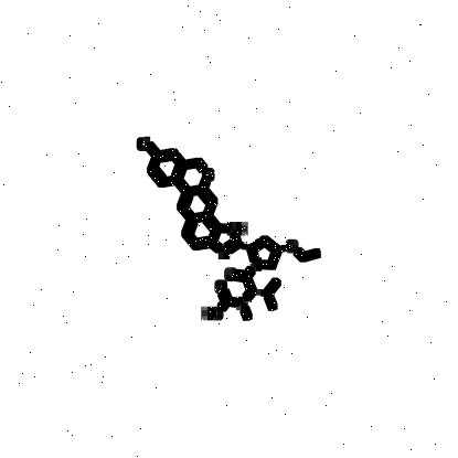 CCO[C@H]1C[C@@H](c2nc3ccc4cc5c(cc4c3[nH]2)OCc2cc(Cl)ccc2-5)N(C(=O)[C@H](C(C)C)N(C)C(=O)O)C1